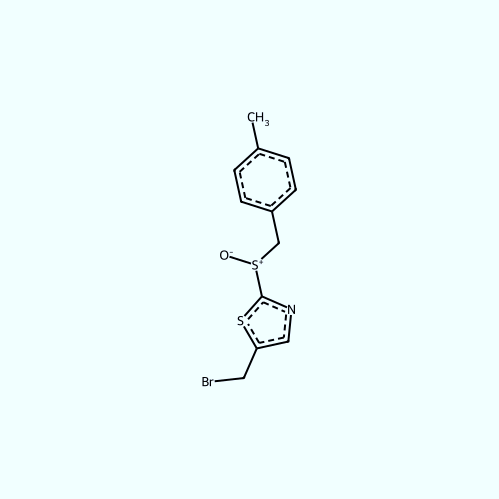 Cc1ccc(C[S+]([O-])c2ncc(CBr)s2)cc1